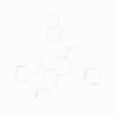 CN(C(=O)[C@H](Cc1ccccc1)NC(=O)NS(=O)(=O)c1ccccc1-c1ccoc1)c1ccc2c(c1)OCO2